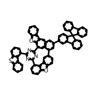 c1cc(-c2ccc3c(c2)-c2ccccc2C32c3ccccc3-c3ccccc32)cc(-c2ccc3oc4cccc(-c5nc(-c6cccc7c6oc6ccccc67)nc(-c6cccc7sc8ccccc8c67)n5)c4c3c2)c1